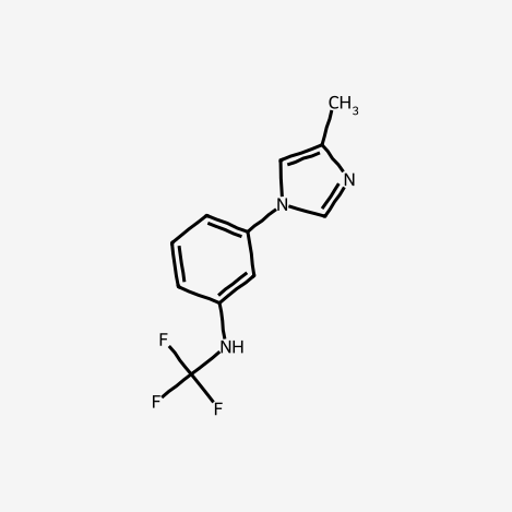 Cc1cn(-c2cccc(NC(F)(F)F)c2)cn1